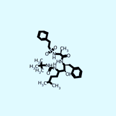 CC(C)CCC(NC(=O)NC(C)(C)C)[C@H](O)[C@H](Cc1ccccc1)NC(=O)[C@H](C)NS(=O)(=O)CCc1ccccc1